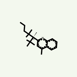 CCCC(C)(C)[C@@](C)(c1cc(C)c2ccccc2n1)C(C)(C)C